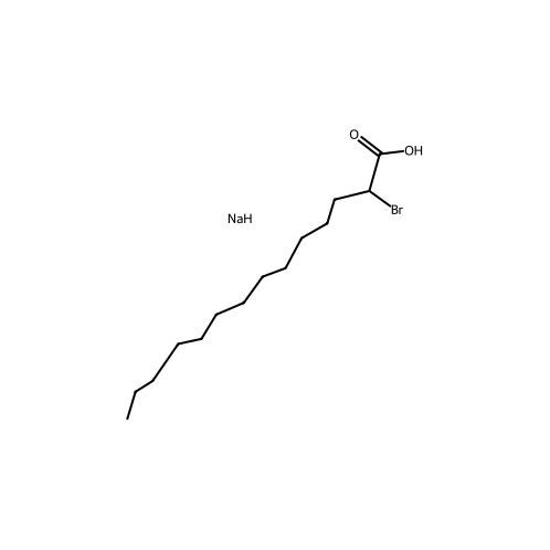 CCCCCCCCCCCCC(Br)C(=O)O.[NaH]